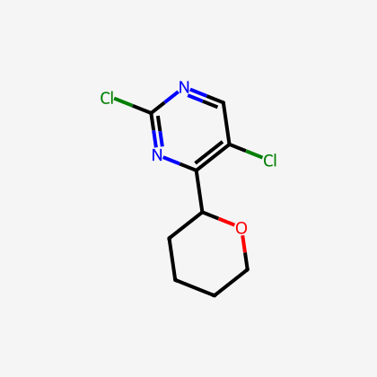 Clc1ncc(Cl)c(C2CCCCO2)n1